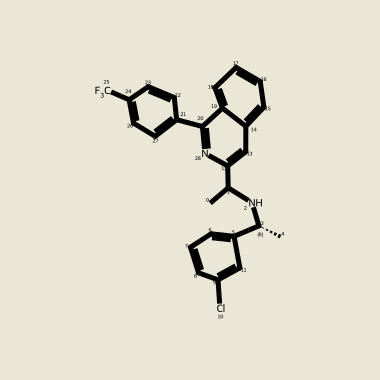 CC(N[C@H](C)c1cccc(Cl)c1)c1cc2ccccc2c(-c2ccc(C(F)(F)F)cc2)n1